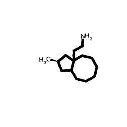 C[C@@H]1CC2CCCCCCC2(CCN)C1